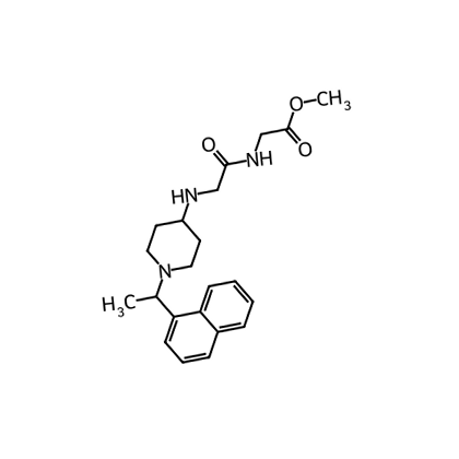 COC(=O)CNC(=O)CNC1CCN(C(C)c2cccc3ccccc23)CC1